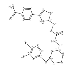 NC(=O)c1ccc(C2=CSC(SCC(=O)NC[C@H]3CN(Cc4ccc(F)c(F)c4)CCO3)N2)cc1